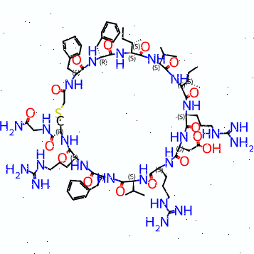 CC[C@H](C)[C@@H]1NC(=O)[C@H](C(C)C)NC(=O)[C@H]([C@@H](C)CC)NC(=O)[C@@H](Cc2ccccc2)NC(=O)[C@H](Cc2ccccc2)NC(=O)CSC[C@@H](C(=O)NCC(N)=O)NC(=O)[C@H](CCCNC(=N)N)NC(=O)[C@H](Cc2ccccc2)NC(=O)[C@H](C(C)C)NC(=O)[C@H](CCCNC(=N)N)NC(=O)[C@H](CC(=O)O)NC(=O)[C@H](CCCNC(=N)N)NC1=O